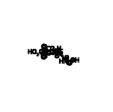 CC(=O)N(CCCCC(=O)Nc1cccc(O)c1)C(=O)C(N)Cc1ccc(N(C(=O)C(=O)O)c2ccccc2C(=O)O)c(N2CCCCC2)c1